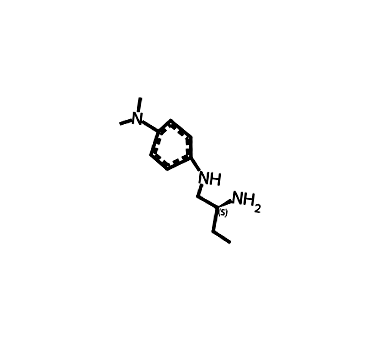 CC[C@H](N)CNc1ccc(N(C)C)cc1